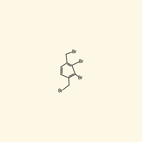 BrCc1ccc(CBr)c(Br)c1Br